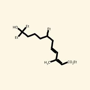 CCOC(=O)C=C(C)C=CCC(CC)CCCC(O)(CC)CC